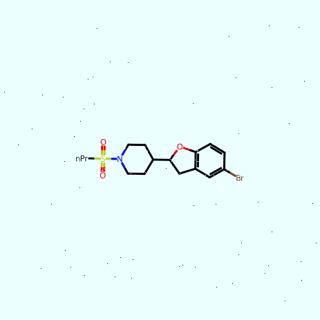 CCCS(=O)(=O)N1CCC(C2Cc3cc(Br)ccc3O2)CC1